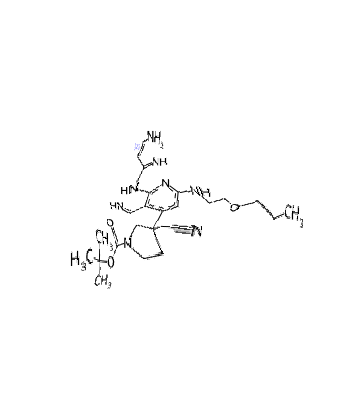 CCCOCCNc1cc(C2(C#N)CCN(C(=O)OC(C)(C)C)C2)c(C=N)c(NC(=N)/C=C\N)n1